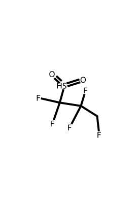 O=[SH](=O)C(F)(F)C(F)(F)CF